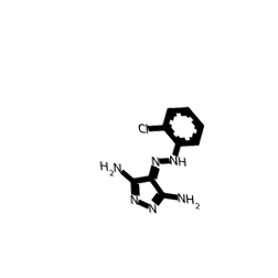 NC1=NN=C(N)C1=NNc1ccccc1Cl